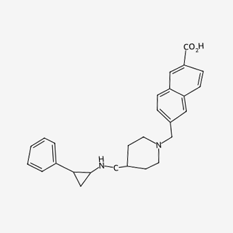 O=C(O)c1ccc2cc(CN3CCC(CNC4CC4c4ccccc4)CC3)ccc2c1